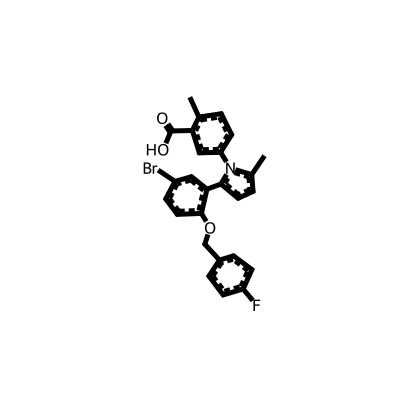 Cc1ccc(-n2c(C)ccc2-c2cc(Br)ccc2OCc2ccc(F)cc2)cc1C(=O)O